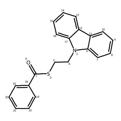 O=C(SCCn1c2ccccc2c2ccccc21)c1ccccc1